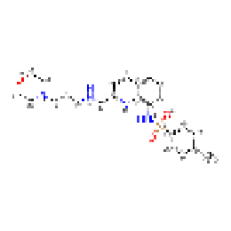 O=S(=O)(Nc1cccc2ccc(CNCCCN3CCOCC3)nc12)c1ccc(C(F)(F)F)cc1